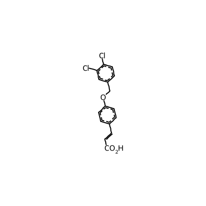 O=C(O)C=Cc1ccc(OCc2ccc(Cl)c(Cl)c2)cc1